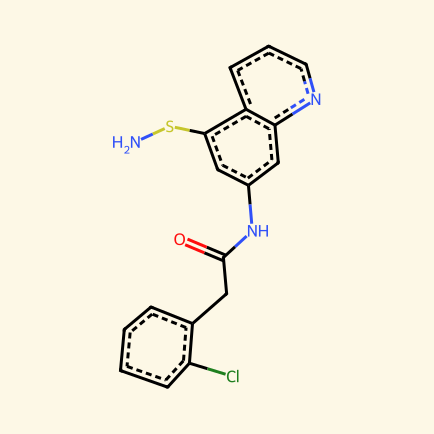 NSc1cc(NC(=O)Cc2ccccc2Cl)cc2ncccc12